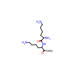 COC(=O)C(CCCCN)NC(=O)C(N)CCCCN